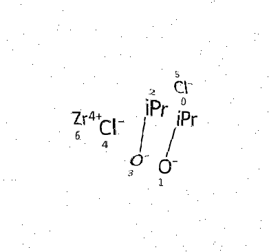 CC(C)[O-].CC(C)[O-].[Cl-].[Cl-].[Zr+4]